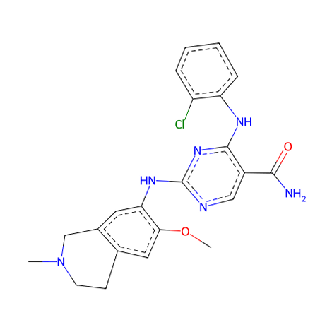 COc1cc2c(cc1Nc1ncc(C(N)=O)c(Nc3ccccc3Cl)n1)CN(C)CC2